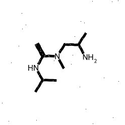 C=C(NC(C)C)N(C)CC(C)N